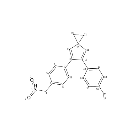 O=[SH](=O)Cc1ccc(C2=CC3(C=C2c2ccc(F)cc2)CC3)cc1